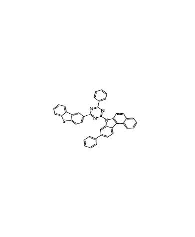 c1ccc(-c2ccc3c4c5ccccc5ccc4n(-c4nc(-c5ccccc5)nc(-c5ccc6sc7ccccc7c6c5)n4)c3c2)cc1